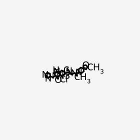 C=N/C(=C\N=C(/C)N1CCC2(CC1)CO[C@@H](C)C2)Sc1ccc2ncn(Cc3ccncn3)c(=O)c2c1Cl